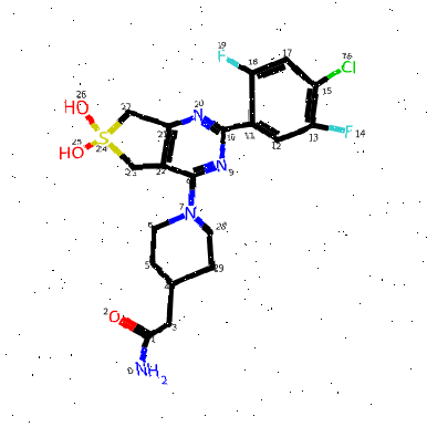 NC(=O)CC1CCN(c2nc(-c3cc(F)c(Cl)cc3F)nc3c2CS(O)(O)C3)CC1